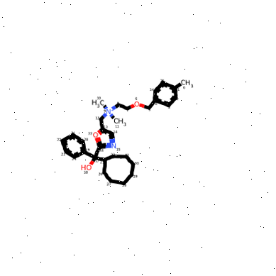 Cc1ccc(COCC[N+](C)(C)Cc2cnc(C(O)(c3ccccc3)C3CCCCCCC3)o2)cc1